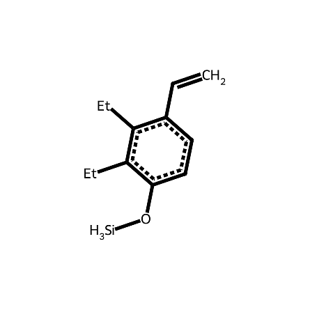 C=Cc1ccc(O[SiH3])c(CC)c1CC